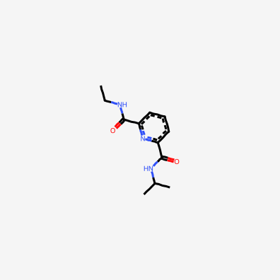 CCNC(=O)c1cccc(C(=O)NC(C)C)n1